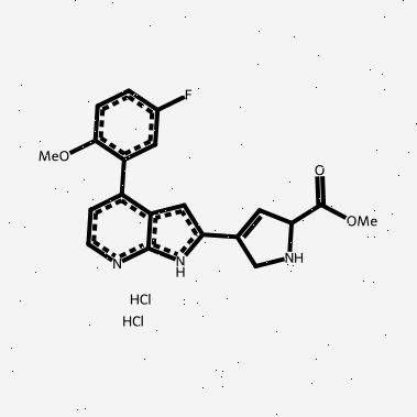 COC(=O)C1C=C(c2cc3c(-c4cc(F)ccc4OC)ccnc3[nH]2)CN1.Cl.Cl